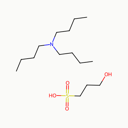 CCCCN(CCCC)CCCC.O=S(=O)(O)CCCO